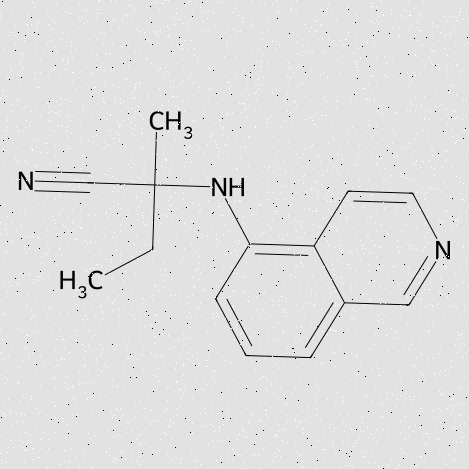 CCC(C)(C#N)Nc1cccc2cnccc12